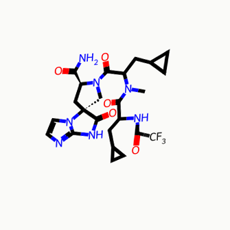 CN(C(=O)C(CC1CC1)NC(=O)C(F)(F)F)C(CC1CC1)C(=O)N1C[C@]2(C[C@H]1C(N)=O)C(=O)Nc1nccn12